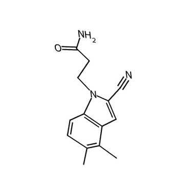 Cc1ccc2c(cc(C#N)n2CCC(N)=O)c1C